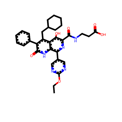 CCOc1ncc(-c2nc(C(=O)NCCC(=O)O)c(O)c3c(CC4CCCCC4)c(-c4ccccc4)c(=O)[nH]c23)cn1